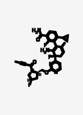 CC#CC(=O)N1C[C@H](F)C[C@H]1COc1nccc(C2(F)CC=C(C)C(c3c(C4CC4)ccc(C(N)=O)c3F)=C2N)n1